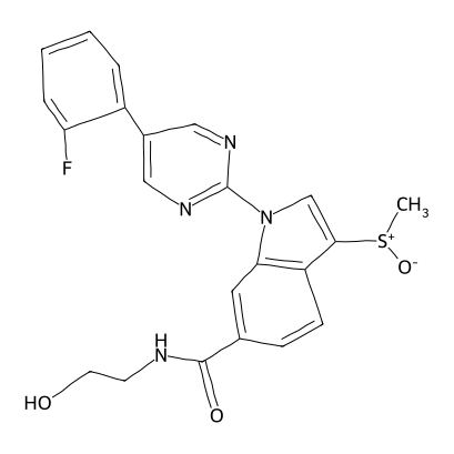 C[S+]([O-])c1cn(-c2ncc(-c3ccccc3F)cn2)c2cc(C(=O)NCCO)ccc12